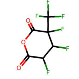 O=C1OC(=O)C(F)(C(F)(F)F)C(F)C1F